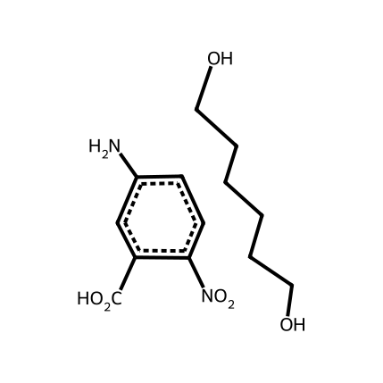 Nc1ccc([N+](=O)[O-])c(C(=O)O)c1.OCCCCCCO